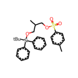 Cc1ccc(S(=O)(=O)OCC(C)CO[Si](c2ccccc2)(c2ccccc2)C(C)(C)C)cc1